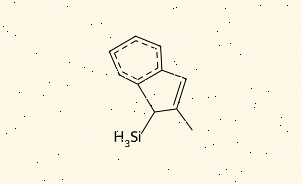 CC1=Cc2ccccc2C1[SiH3]